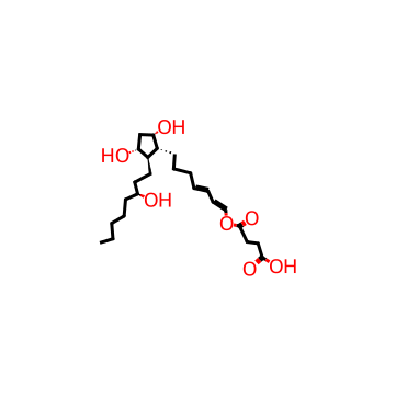 CCCCC[C@H](O)CC[C@@H]1[C@@H](CCC/C=C/C=C/OC(=O)CCC(=O)O)[C@@H](O)C[C@H]1O